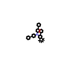 CC1(C)c2cc(-c3ccccc3)c(N(c3ccc(-c4ccccc4)cc3)c3ccc(-c4ccccc4)cc3)cc2C(C)(C)C1(C)C